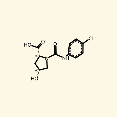 O=C(O)[C@H]1C[C@@H](O)CN1C(=O)Nc1ccc(Cl)cc1